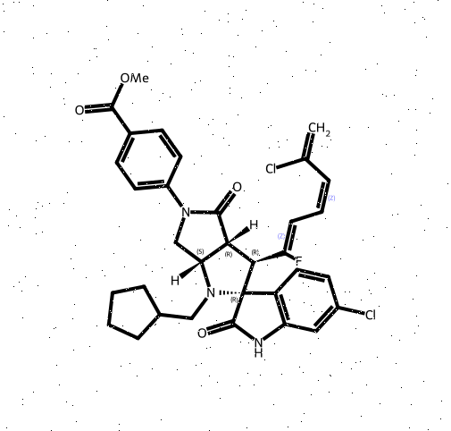 C=C(Cl)/C=C\C=C(/F)[C@@H]1[C@H]2C(=O)N(c3ccc(C(=O)OC)cc3)C[C@H]2N(CC2CCCC2)[C@]12C(=O)Nc1cc(Cl)ccc12